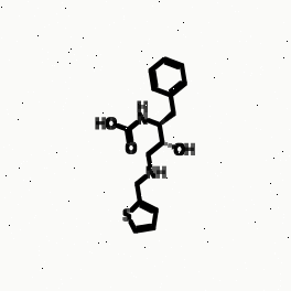 O=C(O)N[C@@H](Cc1ccccc1)[C@H](O)CNCc1cccs1